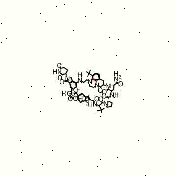 CC(C)(C)c1ccc(CC(NC(=O)C(CCC(N)=O)NC(=O)[C@@H]2CCCN2C(=O)C(NC(=O)c2cc3cc(C(F)(F)P(=O)(O)O)ccc3s2)C(C)(C)C)C(=O)N2CCN(CCNc3cccc4c3CN(C3CCC(=O)NC3=O)C4=O)CC2)cc1